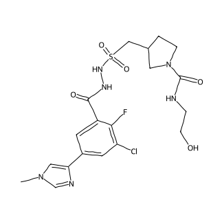 Cn1cnc(-c2cc(Cl)c(F)c(C(=O)NNS(=O)(=O)CC3CCN(C(=O)NCCO)C3)c2)c1